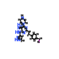 Cc1cc(Nc2nc(/C=C/c3ccc(CI)cc3)nc(N3CCN(C)CC3)c2N)n[nH]1